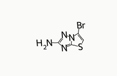 Nc1nc2scc(Br)n2n1